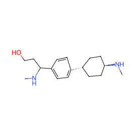 CNC(CCO)c1ccc([C@H]2CC[C@H](NC)CC2)cc1